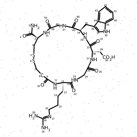 NC(=O)[C@@H]1CSSCCC(=O)N[C@@H](CCCCN=C(N)N)C(=O)NCC(=O)N[C@@H](CC(=O)O)C(=O)N[C@H](Cc2c[nH]c3ccccc23)C(=O)NCC(=O)N1